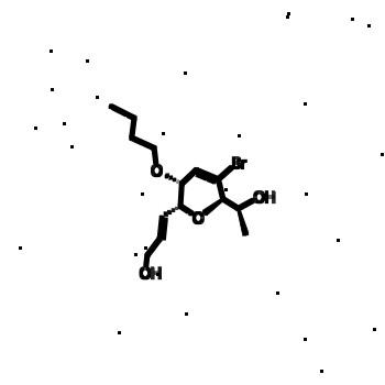 CCCCO[C@@H]1C=C(Br)[C@@H]([C@H](C)O)O[C@@H]1/C=C/CO